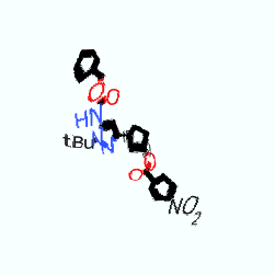 CC(C)(C)n1nc([C@H]2CC[C@H](OC(=O)c3ccc([N+](=O)[O-])cc3)C2)cc1NC(=O)OCc1ccccc1